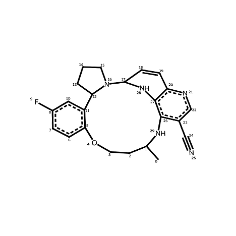 CC1CCOc2ccc(F)cc2C2CCCN2C2C=Cc3ncc(C#N)c(c3N2)N1